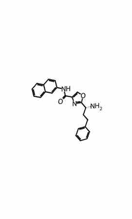 N[C@H](CCc1ccccc1)c1nc(C(=O)Nc2ccc3ccccc3c2)co1